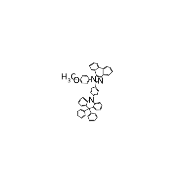 COc1ccc(-n2c(-c3ccc(N4c5ccccc5C(c5ccccc5)(c5ccccc5)c5ccccc54)cc3)nc3c4ccccc4c4ccccc4c32)cc1